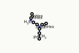 CCCCCCC1(CCCCCC)c2ccccc2-c2ccc(N(C)c3ccc(-c4ccc(N(c5ccc(-c6ccc(C(C)(CC(C)C)c7ccccc7)cc6)cc5)c5ccc6c(c5)C(CCCCCC)(CCCCCC)c5ccccc5-6)cc4)cc3)cc21